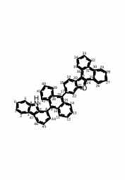 c1ccc2c(c1)[nH]c1c(-c3c4ccccc4c(-c4ccc5c(c4)oc4c6ccccc6c6ccccc6c54)c4ccccc34)cccc12